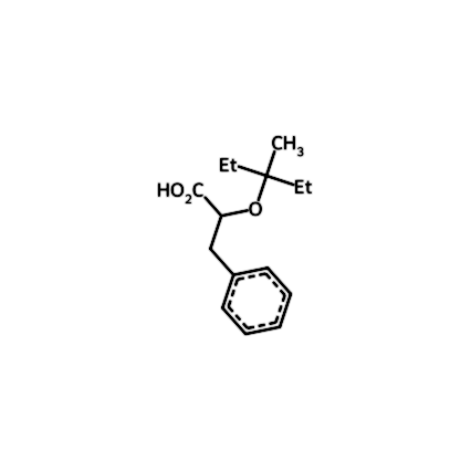 CCC(C)(CC)OC(Cc1ccccc1)C(=O)O